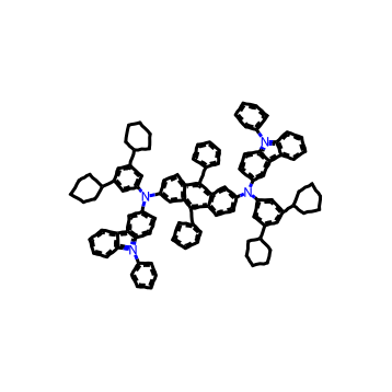 c1ccc(-c2c3ccc(N(c4cc(C5CCCCC5)cc(C5CCCCC5)c4)c4ccc5c(c4)c4ccccc4n5-c4ccccc4)cc3c(-c3ccccc3)c3ccc(N(c4cc(C5CCCCC5)cc(C5CCCCC5)c4)c4ccc5c(c4)c4ccccc4n5-c4ccccc4)cc23)cc1